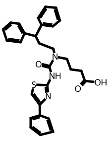 O=C(O)CCCN(CCC(c1ccccc1)c1ccccc1)C(=O)Nc1nc(-c2ccccc2)cs1